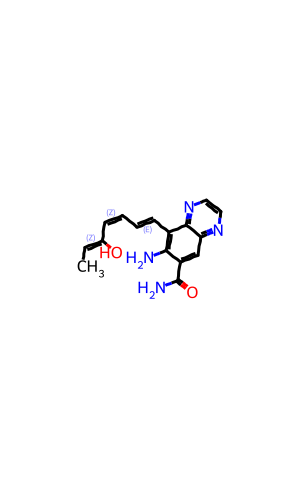 C/C=C(O)/C=C\C=C\c1c(N)c(C(N)=O)cc2nccnc12